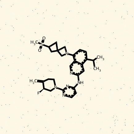 C=C1CCN(c2nccc(Nc3cc4c(C(C)C)ccc(N5CC6(CC(S(C)(=O)=O)C6)C5)c4cn3)n2)C[C@H]1F